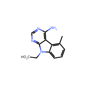 Cc1cccc2c1c1c(N)ncnc1n2CC(=O)O